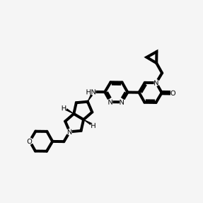 O=c1ccc(-c2ccc(N[C@H]3C[C@@H]4CN(CC5CCOCC5)C[C@@H]4C3)nn2)cn1CC1CC1